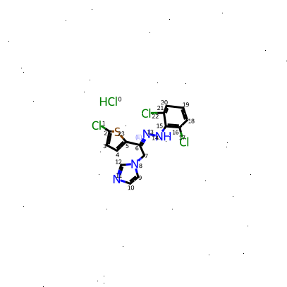 Cl.Clc1ccc(/C(Cn2ccnc2)=N/Nc2c(Cl)cccc2Cl)s1